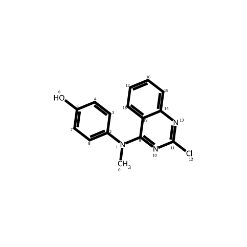 CN(c1ccc(O)cc1)c1nc(Cl)nc2ccccc12